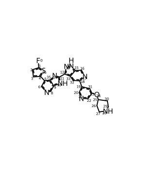 Fc1ccc(-c2cncc3[nH]c(-c4n[nH]c5cnc(-c6cncc(OC7CCNCC7)c6)cc45)nc23)s1